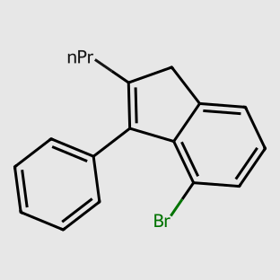 CCCC1=C(c2ccccc2)c2c(Br)cccc2C1